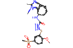 COc1ccc(S(C)(=O)=O)cc1SNC(=O)Nc1cccc2nc(C)n(C)c12